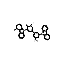 CC1CC=Cc2c1c1ccccc1n2C1=CC(c2cc(C#N)cc(-n3c4ccccc4c4ccccc43)c2)=CC(C#N)C1C